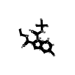 CCOC(=O)c1cc2cc(C)cnc2n1C(=O)OC(C)(C)C